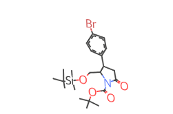 CC(C)(C)OC(=O)N1C(=O)CC(c2ccc(Br)cc2)C1CO[Si](C)(C)C(C)(C)C